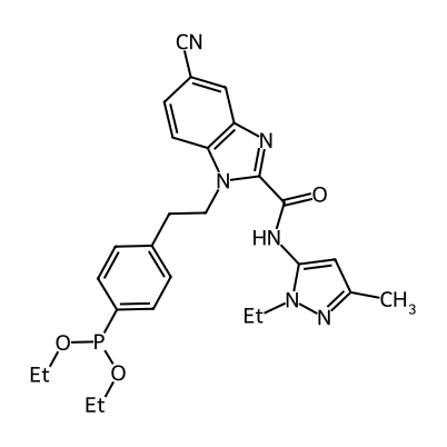 CCOP(OCC)c1ccc(CCn2c(C(=O)Nc3cc(C)nn3CC)nc3cc(C#N)ccc32)cc1